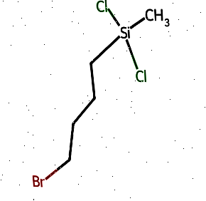 C[Si](Cl)(Cl)CCCCBr